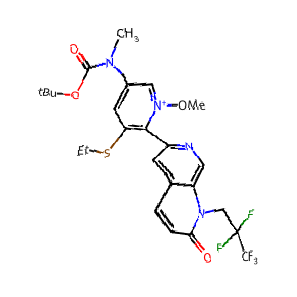 CCSc1cc(N(C)C(=O)OC(C)(C)C)c[n+](OC)c1-c1cc2ccc(=O)n(CC(F)(F)C(F)(F)F)c2cn1